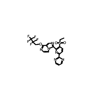 CCS(=O)(=O)c1ccc(-c2ncccn2)nc1-c1ncc2c(OCC(F)(F)C(F)(F)F)nccn12